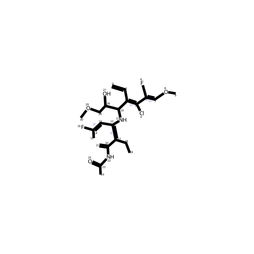 C=C/C(=C(Cl)\C(F)=C\OC)C(NC(/C=C(\C)F)=C(\CC)C(=C)NC(C)=O)C(O)COC